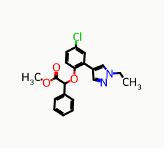 CCn1cc(-c2cc(Cl)ccc2OC(C(=O)OC)c2ccccc2)cn1